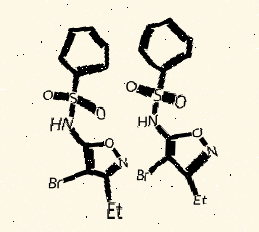 CCc1noc(NS(=O)(=O)c2ccccc2)c1Br.CCc1noc(NS(=O)(=O)c2ccccc2)c1Br